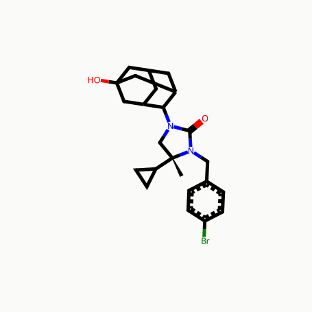 C[C@@]1(C2CC2)CN(C2C3CC4CC2CC(O)(C4)C3)C(=O)N1Cc1ccc(Br)cc1